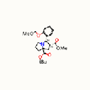 COCOc1ccccc1[C@@H]1[C@H](C(=O)OC)C[C@]2(C(=O)OC(C)(C)C)CCCN12